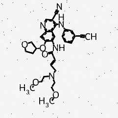 C#Cc1cccc(Nc2c(C#N)cnc3cc(O[C@H]4CCOC4)c(NC(=O)/C=C/CN(CCOC)CCOC)cc23)c1